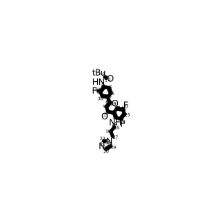 CC(C)(C)C(=O)Nc1ccc(-c2cc(=O)c3c(NCCCn4ccnc4)c(F)cc(F)c3o2)cc1F